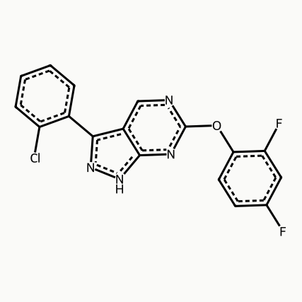 Fc1ccc(Oc2ncc3c(-c4ccccc4Cl)n[nH]c3n2)c(F)c1